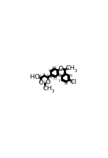 CCOC(CC(=O)O)c1ccc(O[C@H](C)c2cccc(Cl)c2)cc1